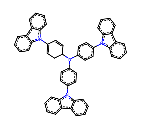 C1=CC(N(c2ccc(-n3c4ccccc4c4ccccc43)cc2)c2ccc(-n3c4ccccc4c4ccccc43)cc2)CC=C1n1c2ccccc2c2ccccc21